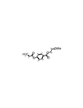 C=CC(=O)Oc1ccc(C(=O)OCCOC)cc1